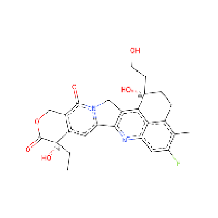 CC[C@@]1(O)C(=O)OCc2c1cc1n(c2=O)Cc2c-1nc1cc(F)c(C)c3c1c2[C@@](O)(CCO)CC3